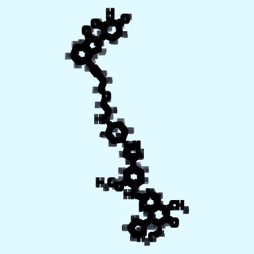 CC[C@@H]1C(=O)N(C)c2cnc(Nc3ccc(-c4cn([C@H]5CC[C@H](NCCOCCC#Cc6cccc7c6CN(C6CCC(=O)NC6=O)C7=O)CC5)nn4)cc3OC)nc2N1C1CCCC1